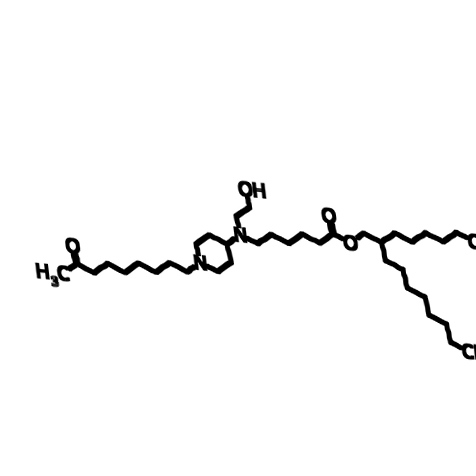 CCCCCCCCC(CCCCCC)COC(=O)CCCCCN(CCO)C1CCN(CCCCCCCC(C)=O)CC1